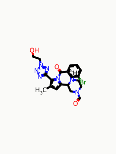 Cc1cc(C2CN(C=O)CCN2C)n(C(=O)c2cccc(Br)c2)c1-c1nnn(CCO)n1